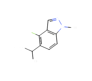 CCOC(=O)C(C)c1ccc2c(cnn2C)c1F